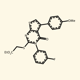 CCOC(=O)CSc1nc2scc(-c3ccc(OC)cc3)c2c(=O)n1-c1cccc(F)c1